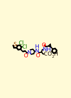 O=C(O)CC(CNC(=O)C1CC1c1ccccc1)C(=O)NC1CCN(C(=O)/C=C/c2cc3ccsc3c(Cl)c2Cl)CC1